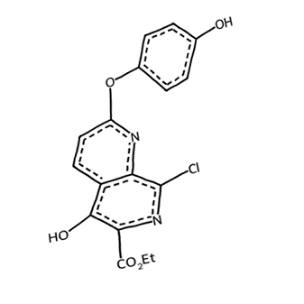 CCOC(=O)c1nc(Cl)c2nc(Oc3ccc(O)cc3)ccc2c1O